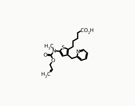 C=CCOC(=O)N(C)c1cc(Cc2ccccn2)c(CCCCC(=O)O)s1